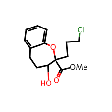 COC(=O)C1(CCCCl)Oc2ccccc2CCC1O